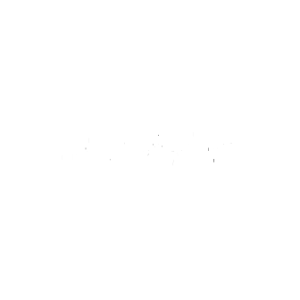 BBBBBBCCBB